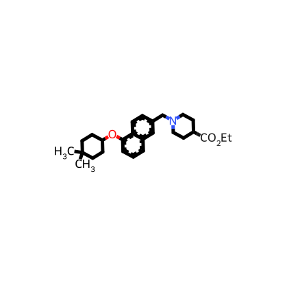 CCOC(=O)C1CCN(Cc2ccc3c(OC4CCC(C)(C)CC4)cccc3c2)CC1